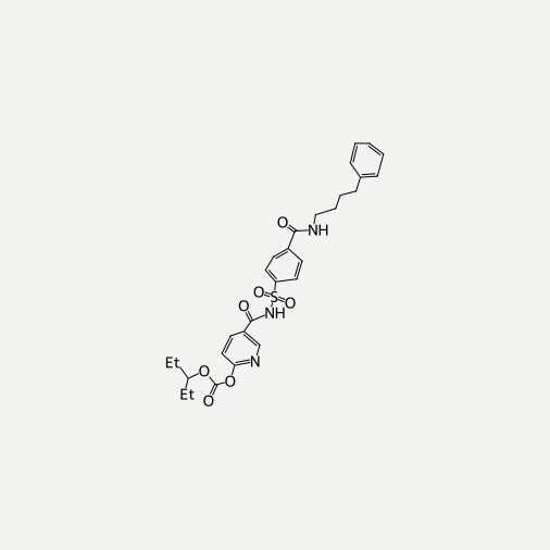 CCC(CC)OC(=O)Oc1ccc(C(=O)NS(=O)(=O)c2ccc(C(=O)NCCCCc3ccccc3)cc2)cn1